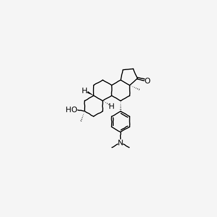 CN(C)c1ccc([C@H]2C[C@]3(C)C(=O)CCC3C3CC[C@H]4C[C@](C)(O)CC[C@@H]4C32)cc1